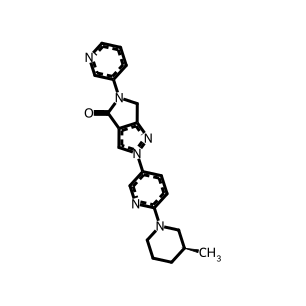 C[C@H]1CCCN(c2ccc(-n3cc4c(n3)CN(c3cccnc3)C4=O)cn2)C1